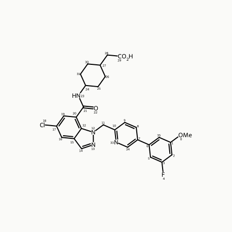 COc1cc(F)cc(-c2ccc(Cn3ncc4cc(Cl)cc(C(=O)NC5CCC(CC(=O)O)CC5)c43)nc2)c1